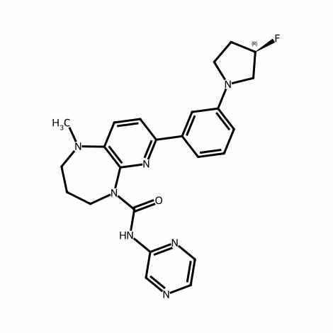 CN1CCCN(C(=O)Nc2cnccn2)c2nc(-c3cccc(N4CC[C@@H](F)C4)c3)ccc21